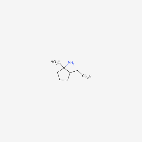 NC1(C(=O)O)CCCC1CC(=O)O